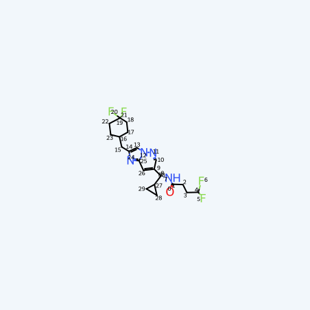 O=C(CCC(F)F)N[C@@H](c1cnn2cc(CC3CCC(F)(F)CC3)nc2c1)C1CC1